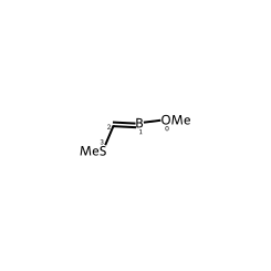 COB=CSC